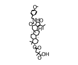 COc1ccc(CNC(=O)[C@@]23CC[C@]4(C)[C@H](CCC5[C@@]6(C)CC[C@H](OC(=O)CC(C)(C)C(=O)O)C(C)(C)C6CC[C@]54C)C2=C(C(C)C)C(=O)C3)cc1